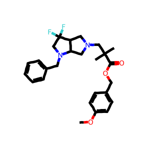 COc1ccc(COC(=O)C(C)(C)CN2CC3C(C2)C(F)(F)CN3Cc2ccccc2)cc1